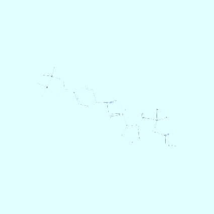 COC(=O)NC1(C(=O)N2CCCC2c2nc(-c3ccc(B4OC(C)(C)C(C)(C)O4)cc3)c[nH]2)CC1